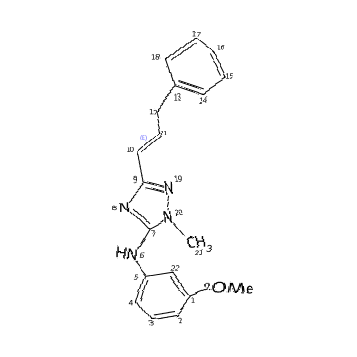 COc1cccc(Nc2nc(/C=C/Cc3ccccc3)nn2C)c1